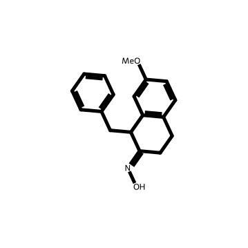 COc1ccc2c(c1)C(Cc1ccccc1)/C(=N/O)CC2